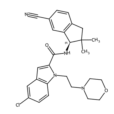 CC1(C)Cc2ccc(C#N)cc2[C@@H]1NC(=O)c1cc2cc(Cl)ccc2n1CCN1CCOCC1